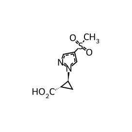 CS(=O)(=O)c1cnn([C@H]2C[C@@H]2C(=O)O)c1